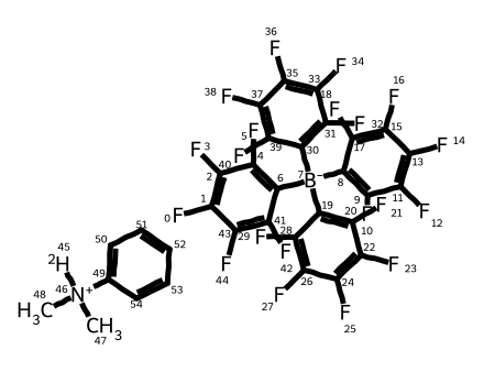 Fc1c(F)c(F)c([B-](c2c(F)c(F)c(F)c(F)c2F)(c2c(F)c(F)c(F)c(F)c2F)c2c(F)c(F)c(F)c(F)c2F)c(F)c1F.[2H][N+](C)(C)c1ccccc1